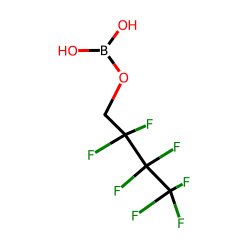 OB(O)OCC(F)(F)C(F)(F)C(F)(F)F